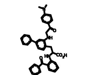 CN(C)c1ccc(C(=O)CNc2cc(-c3ccccc3)ccc2CC(Nc2ccccc2C(=O)c2ccccc2)C(=O)O)cc1